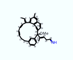 C=C(C)/C=C1C(=C/C)/C=C\C=CCCc2cccc(c2)C(OC)(/C(C)=C/CC=N)c2ccc(C)c/1c2